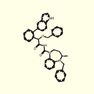 CC1CCN(C(=O)NC(=O)C(OCc2ccccc2)c2ccccc2-c2ccc3[nH]ccc3c2)c2ccccc2N1Cc1ccccc1